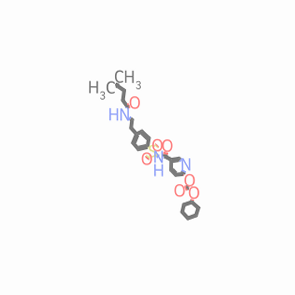 CC(C)CCC(=O)NCCc1ccc(S(=O)(=O)NC(=O)c2ccc(OC(=O)OC3CCCCC3)nc2)cc1